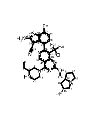 CCC1CN(c2nc(OC[C@]34CCCN3C[C@@H](F)C4)nc3c(C(F)(F)Cl)c(-c4ccc(F)c5sc(N)c(C#N)c45)ncc23)CCN1